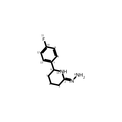 N/N=C1/CCCC(c2ccc(F)cc2)N1